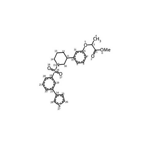 COC(=O)C(C)Oc1cccc(C2CCCN(S(=O)(=O)c3cccc(-c4ccsc4)c3)C2)c1